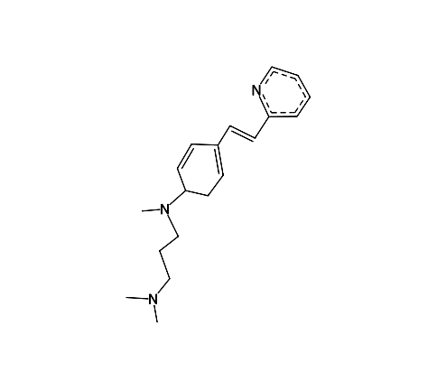 CN(C)CCCN(C)C1C=CC(/C=C/c2ccccn2)=CC1